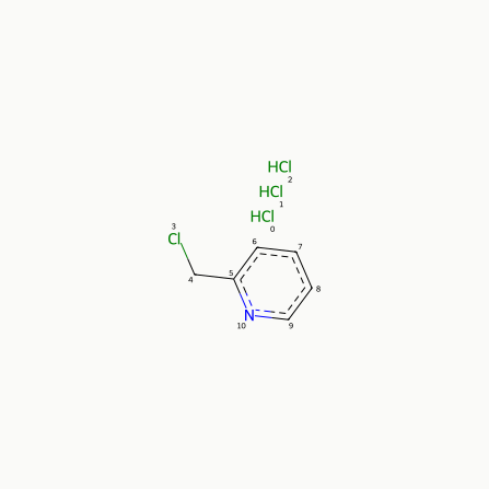 Cl.Cl.Cl.ClCc1ccccn1